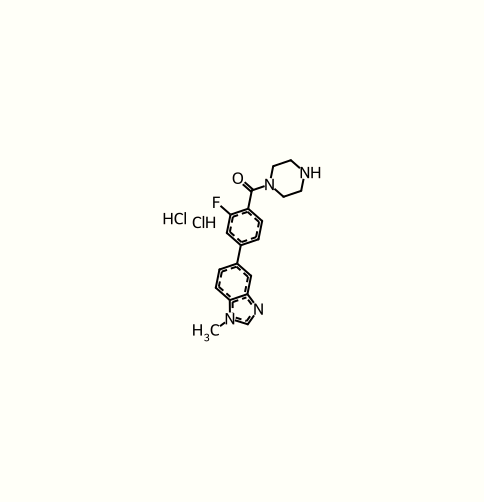 Cl.Cl.Cn1cnc2cc(-c3ccc(C(=O)N4CCNCC4)c(F)c3)ccc21